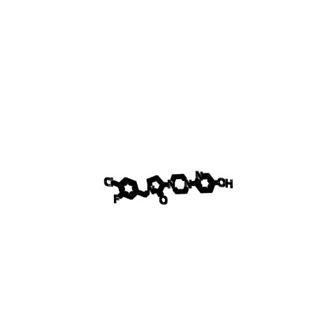 O=C1C(N2CCN(c3ccc(O)cn3)CC2)CCN1Cc1ccc(Cl)c(F)c1